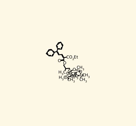 CCOC(=O)/C(=C/C=C(c1ccccc1)c1ccccc1)C(=O)OCC(C)C[Si](C)(O[Si](C)(C)C)O[Si](C)(C)O[Si](C)(C)C